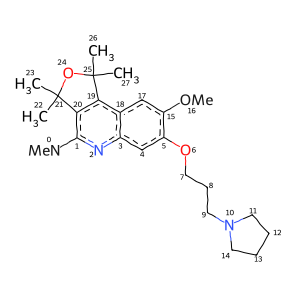 CNc1nc2cc(OCCCN3CCCC3)c(OC)cc2c2c1C(C)(C)OC2(C)C